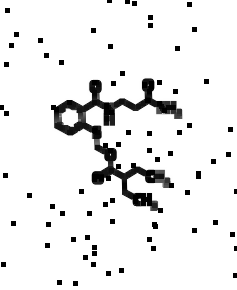 CCC(CC)C(=O)OCSc1ccccc1C(=O)NCCC(N)=O